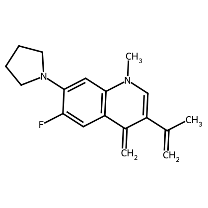 C=C(C)C1=CN(C)c2cc(N3CCCC3)c(F)cc2C1=C